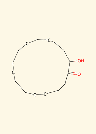 O=C1CCCCCCCCCCCCCCC1O